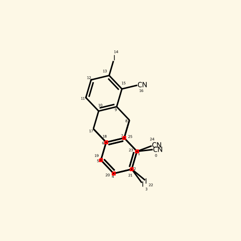 N#Cc1c(I)ccc2c1C1c3c(ccc(I)c3C#N)C2c2ccc(I)c(C#N)c21